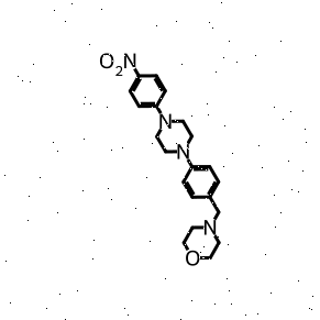 O=[N+]([O-])c1ccc(N2CCN(c3ccc(CN4CCOCC4)cc3)CC2)cc1